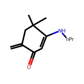 C=C1CC(C)(C)C(NCCC)=CC1=O